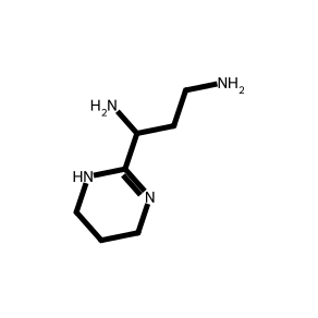 NCCC(N)C1=NCCCN1